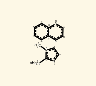 CCCCCCCc1nccn1C.c1ccc2ncccc2c1